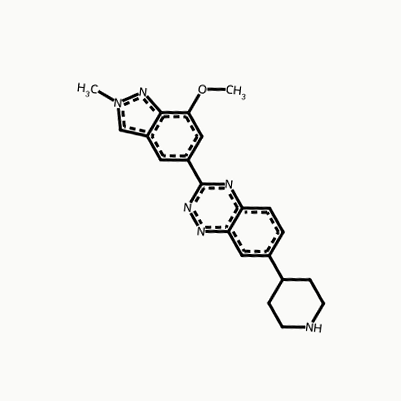 COc1cc(-c2nnc3cc(C4CCNCC4)ccc3n2)cc2cn(C)nc12